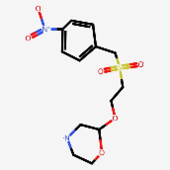 O=[N+]([O-])c1ccc(CS(=O)(=O)CCOC2C[N]CCO2)cc1